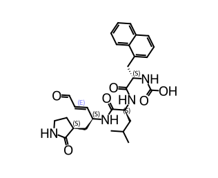 CC(C)C[C@H](NC(=O)[C@H](Cc1cccc2ccccc12)NC(=O)O)C(=O)N[C@H](/C=C/C=O)C[C@@H]1CCNC1=O